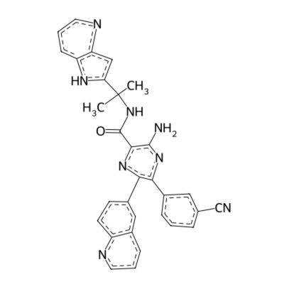 CC(C)(NC(=O)c1nc(-c2ccc3ncccc3c2)c(-c2cccc(C#N)c2)nc1N)c1cc2ncccc2[nH]1